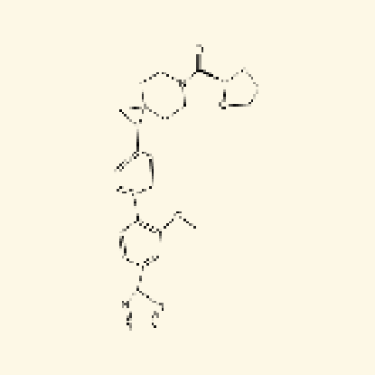 COc1cc(C2N=NN=N2)ccc1-c1ccc(C2CC23CCN(C(=O)[C@H]2CCCO2)CC3)cc1